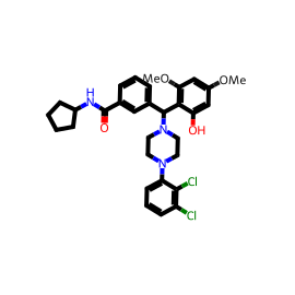 COc1cc(O)c(C(c2cccc(C(=O)NC3CCCC3)c2)N2CCN(c3cccc(Cl)c3Cl)CC2)c(OC)c1